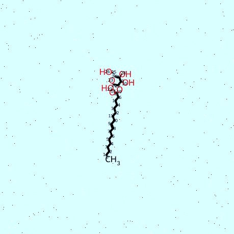 CCCCCCCCC=CCCCCCCCC(=O)O[C@H]1C(O)O[C@H](CO)[C@@H](O)[C@@H]1O